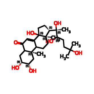 CC(C)(O)CC[C@@H](O)[C@](C)(O)[C@H]1CC[C@@]2(O)C3=CC(=O)C4C[C@@H](O)[C@@H](O)C[C@]4(C)C3CC[C@]12C